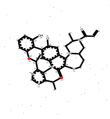 C=CC(=O)N1CC2CCOc3c(c4cc(Cl)c(-c5c(O)cccc5F)c(F)c4n(-c4c(C(C)C)ncnc4C(C)C)c3=O)N2CC1C